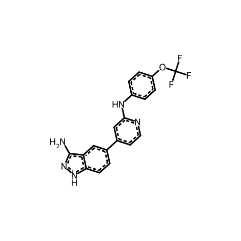 Nc1n[nH]c2ccc(-c3ccnc(Nc4ccc(OC(F)(F)F)cc4)c3)cc12